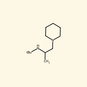 CC(CN1CCCCC1)NC(C)(C)C